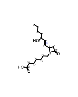 CCCCC(O)/C=C/C1CC(=O)N1CCCCCCC(=O)O